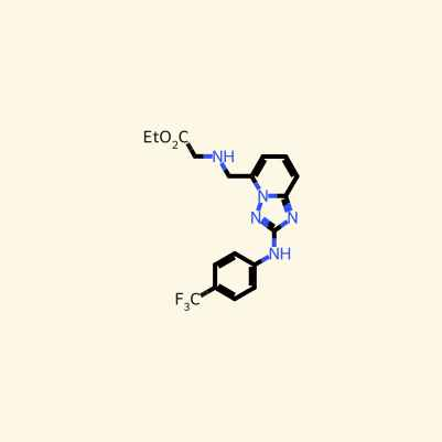 CCOC(=O)CNCc1cccc2nc(Nc3ccc(C(F)(F)F)cc3)nn12